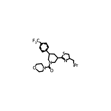 CC(C)CC1CSC(C2CC(c3ccc(C(F)(F)F)cc3)CN(C(=O)N3CCOCC3)C2)=N1